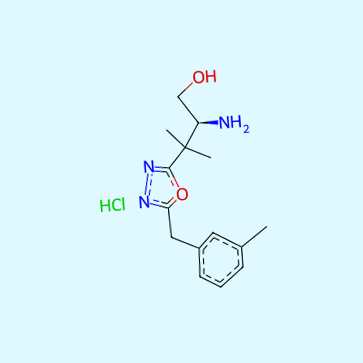 Cc1cccc(Cc2nnc(C(C)(C)[C@H](N)CO)o2)c1.Cl